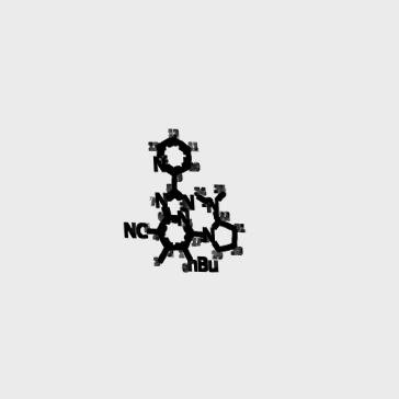 CCCCc1c(C)c(C#N)c2nc(-c3ccccn3)nn2c1N1CCCC1N(C)C